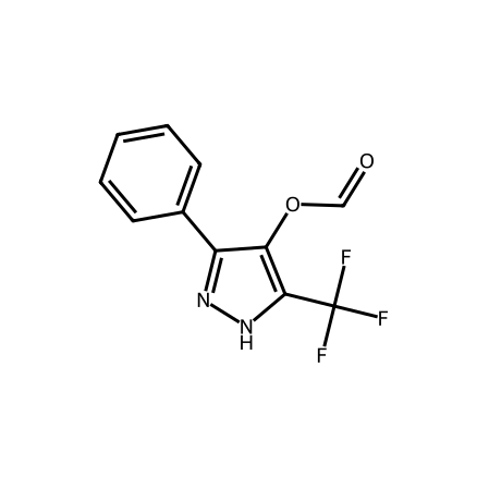 O=COc1c(-c2ccccc2)n[nH]c1C(F)(F)F